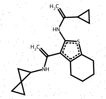 C=C(NC1CC12CC2)c1c(NC(=C)C2CC2)sc2c1CCCC2